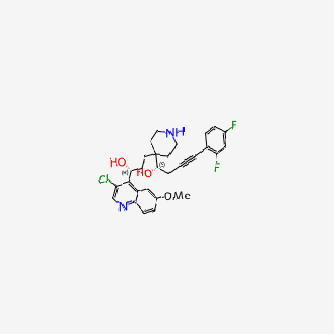 COc1ccc2ncc(Cl)c([C@H](O)CCC3([C@@H](O)CC#Cc4ccc(F)cc4F)CCNCC3)c2c1